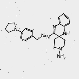 NN1CCC2(CC1)Nc1ccccc1N=C2N=NCc1ccc(N2CCCC2)cc1